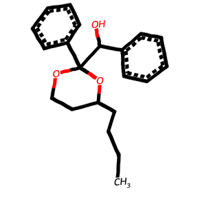 CCCCC1CCOC(c2ccccc2)(C(O)c2ccccc2)O1